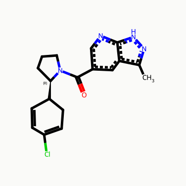 Cc1n[nH]c2ncc(C(=O)N3CCC[C@@H]3C3C=CC(Cl)=CC3)cc12